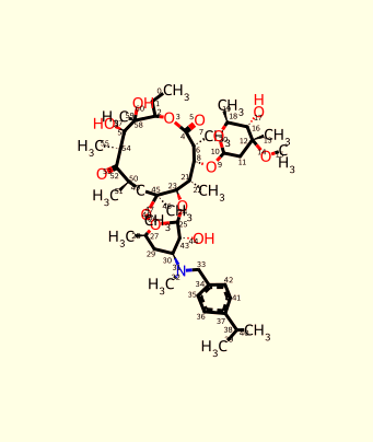 CCC1OC(=O)[C@H](C)[C@H](OC2C[C@@](C)(OC)[C@@H](O)[C@H](C)O2)[C@H](C)[C@@H](OC2O[C@H](C)C[C@H](N(C)Cc3ccc(C(C)C)cc3)[C@H]2O)[C@@](C)(OC)C[C@@H](C)C(=O)[C@H](C)[C@@H](O)[C@]1(C)O